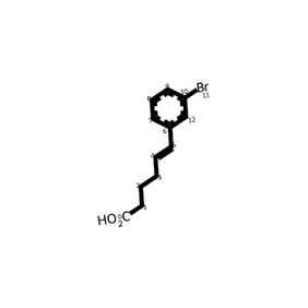 O=C(O)CCC/C=C/c1cccc(Br)c1